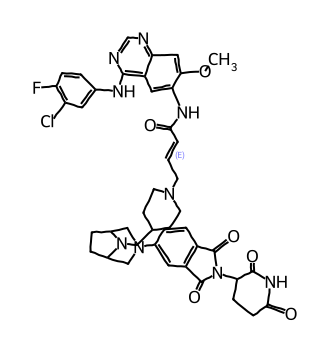 COc1cc2ncnc(Nc3ccc(F)c(Cl)c3)c2cc1NC(=O)/C=C/CN1CCC(CN2C3CCC2CN(c2ccc4c(c2)C(=O)N(C2CCC(=O)NC2=O)C4=O)C3)CC1